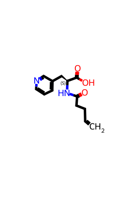 C=CCCC(=O)N[C@@H](Cc1cccnc1)C(=O)O